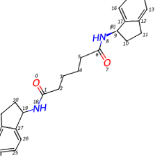 O=C(CCCCC(=O)N[C@@H]1CCc2ccccc21)NC1CCc2ccccc21